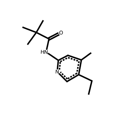 CCc1cnc(NC(=O)C(C)(C)C)cc1C